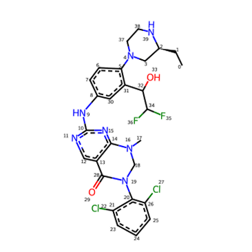 CC[C@H]1CN(c2ccc(Nc3ncc4c(n3)N(C)CN(c3c(Cl)cccc3Cl)C4=O)cc2C(O)C(F)F)CCN1